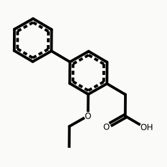 CCOc1cc(-c2ccccc2)ccc1CC(=O)O